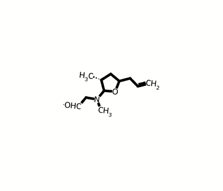 C=CCC1C[C@@H](C)C(N(C)C[C]=O)O1